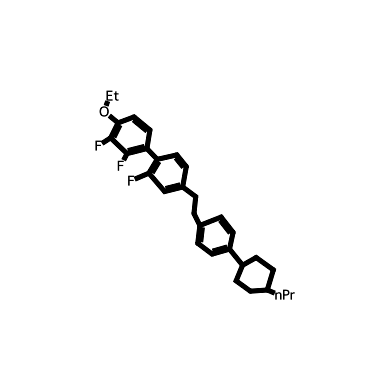 CCCC1CCC(c2ccc(CCc3ccc(-c4ccc(OCC)c(F)c4F)c(F)c3)cc2)CC1